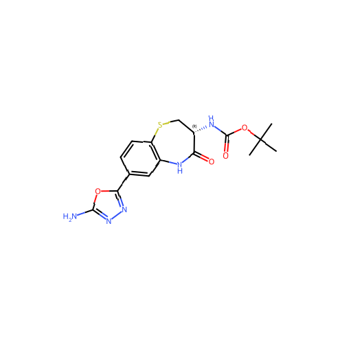 CC(C)(C)OC(=O)N[C@H]1CSc2ccc(-c3nnc(N)o3)cc2NC1=O